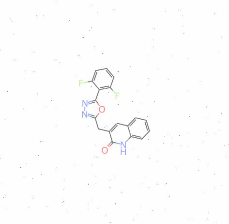 O=c1[nH]c2ccccc2cc1Cc1nnc(-c2c(F)cccc2F)o1